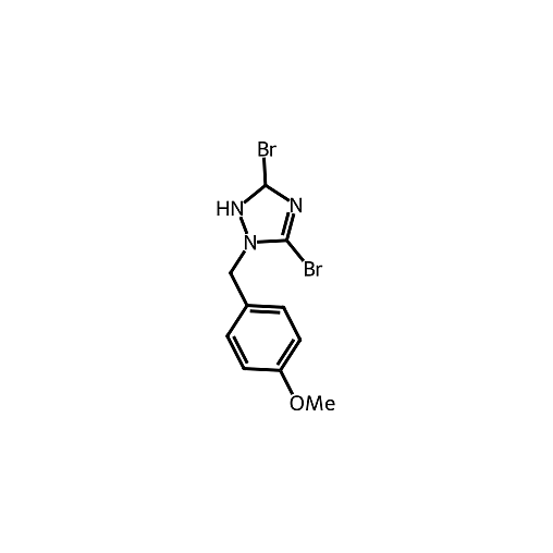 COc1ccc(CN2NC(Br)N=C2Br)cc1